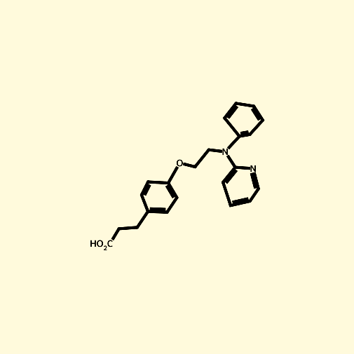 O=C(O)CCc1ccc(OCCN(c2ccccc2)c2ccccn2)cc1